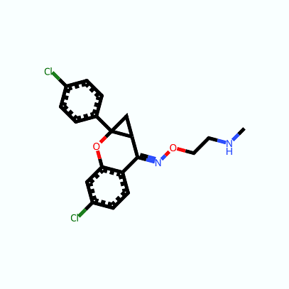 CNCCON=C1c2ccc(Cl)cc2OC2(c3ccc(Cl)cc3)CC12